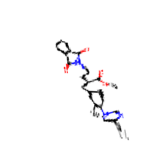 COc1cc(/C=C(/CCN2C(=O)c3ccccc3C2=O)C(=O)OC(C)(C)C)ccc1-n1cnc(C)c1